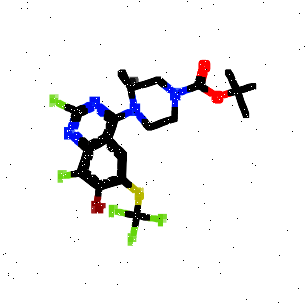 C[C@H]1CN(C(=O)OC(C)(C)C)CCN1c1nc(F)nc2c(F)c(Br)c(SC(F)(F)F)cc12